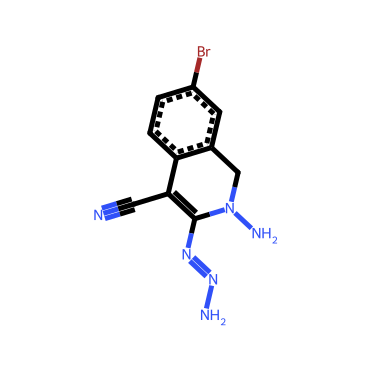 N#CC1=C(N=NN)N(N)Cc2cc(Br)ccc21